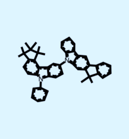 CC1(C)c2ccccc2-c2cc3c4ccccc4n(-c4ccc5c(c4)c4c6c(ccc4n5-c4ccccc4)C(C)(C)C(C)(C)C6(C)C)c3cc21